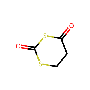 O=C1CCSC(=O)S1